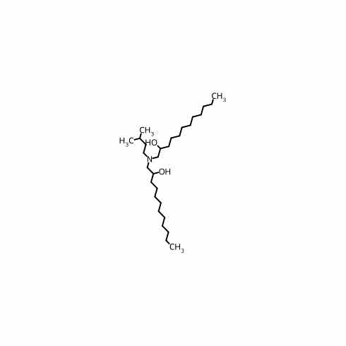 CCCCCCCCCCC(O)CN(CCC(C)C)CC(O)CCCCCCCCCC